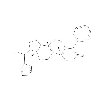 CC(=O)NC(c1cccs1)C1CC[C@H]2[C@@H]3CC[C@H]4C(C5=CC=CC=CN5)C(=O)CC[C@]4(C)[C@H]3CC[C@]12C